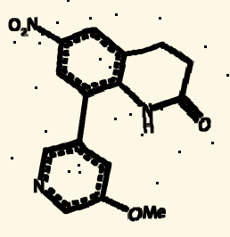 COc1cncc(-c2cc([N+](=O)[O-])cc3c2NC(=O)CC3)c1